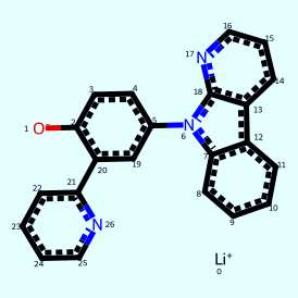 [Li+].[O-]c1ccc(-n2c3ccccc3c3cccnc32)cc1-c1ccccn1